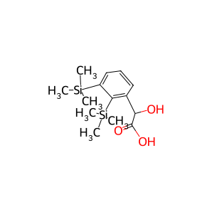 C[Si](C)(C)c1cccc(C(O)C(=O)O)c1[Si](C)(C)C